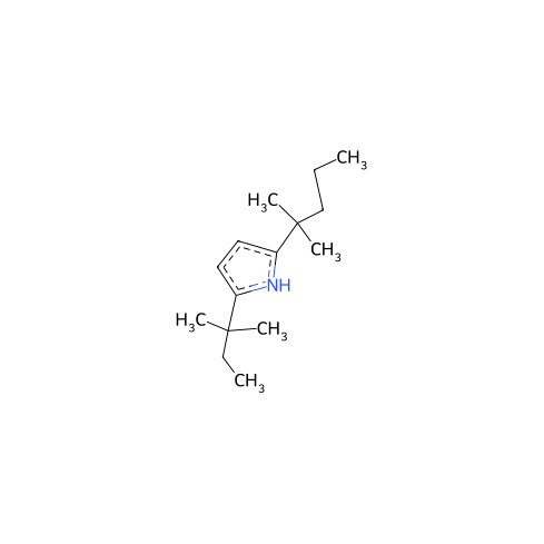 CCCC(C)(C)c1ccc(C(C)(C)CC)[nH]1